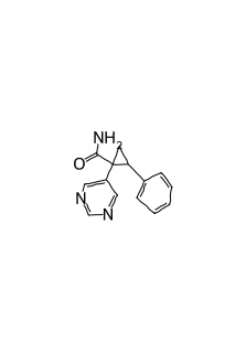 NC(=O)C1(c2cncnc2)CC1c1ccccc1